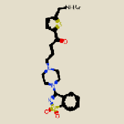 CC(=O)NCc1ccc(C(=O)CCCN2CCN(C3=NS(=O)(=O)c4ccccc43)CC2)s1